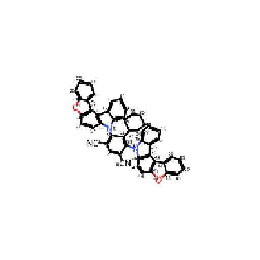 N#Cc1cc(C#N)c(-n2c3ccccc3c3c4c(ccc32)oc2ccccc24)c(C2CCCCC2)c1-n1c2ccccc2c2c3c(ccc21)oc1ccccc13